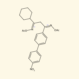 CC(=O)O/N=C(/C/C(=N/OC(C)=O)C1CCCCC1)c1ccc(-c2ccc([N+](=O)[O-])cc2)cc1